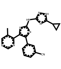 Cc1cncnc1-c1sc(Nc2n[nH]c(C3CC3)n2)nc1-c1cccc(C#N)c1